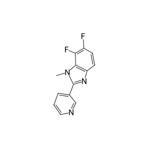 Cn1c(-c2cccnc2)nc2ccc(F)c(F)c21